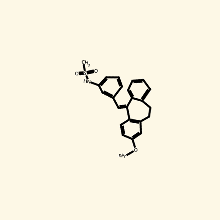 CCCOc1ccc2c(c1)CCc1ccccc1C2=Cc1cccc(NS(C)(=O)=O)c1